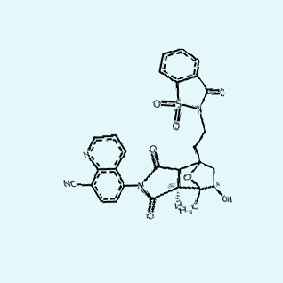 CC12OC(CCN3C(=O)c4ccccc4S3(=O)=O)(C[C@H]1O)C1C(=O)N(c3ccc(C#N)c4ncccc34)C(=O)[C@@H]12